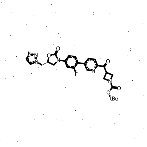 CC(C)(C)OC(=O)N1CC(C(=O)c2ccc(-c3ccc(N4C[C@H](Cn5ccnn5)OC4=O)cc3F)cn2)C1